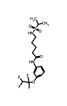 CC(C)S(=O)(=O)NCCCCC(=O)Nc1cccc(OC(F)(F)C(F)F)c1